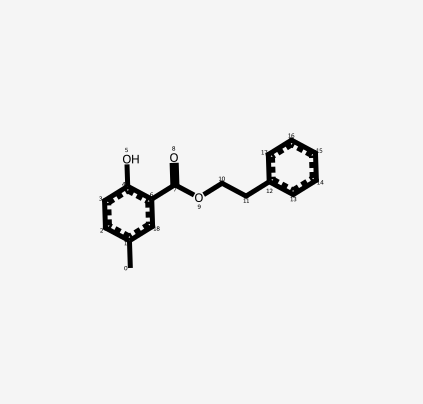 Cc1ccc(O)c(C(=O)OCCc2ccccc2)c1